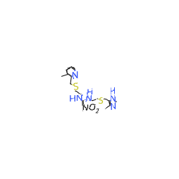 Cc1cccnc1CSCCNC(=C[N+](=O)[O-])NCCSCc1[nH]cnc1C